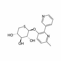 Cc1ccc(O[C@@H]2SC[C@@H](O)[C@H](O)[C@H]2O)c(-c2cccnc2)n1